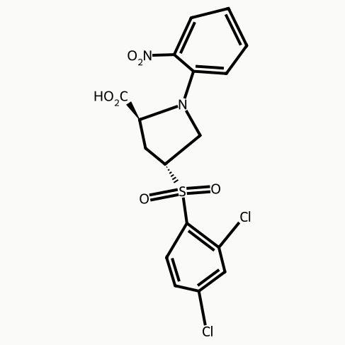 O=C(O)[C@@H]1C[C@@H](S(=O)(=O)c2ccc(Cl)cc2Cl)CN1c1ccccc1[N+](=O)[O-]